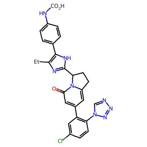 CCc1nc(C2CCc3cc(-c4cc(Cl)ccc4-n4cnnn4)cc(=O)n32)[nH]c1-c1ccc(NC(=O)O)cc1